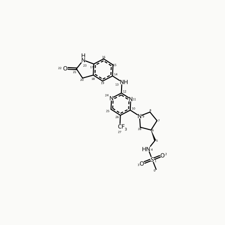 CS(=O)(=O)NC[C@@H]1CCN(c2nc(Nc3ccc4c(c3)CC(=O)N4)ncc2C(F)(F)F)C1